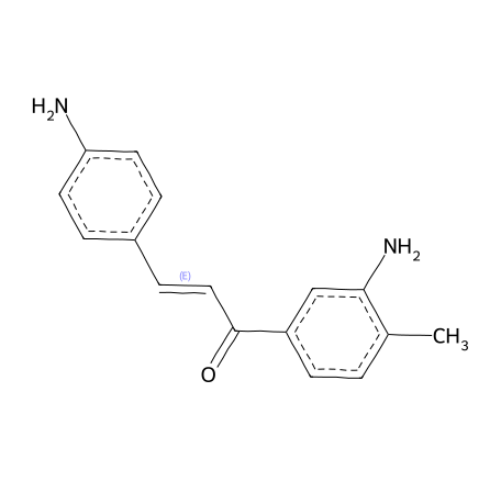 Cc1ccc(C(=O)/C=C/c2ccc(N)cc2)cc1N